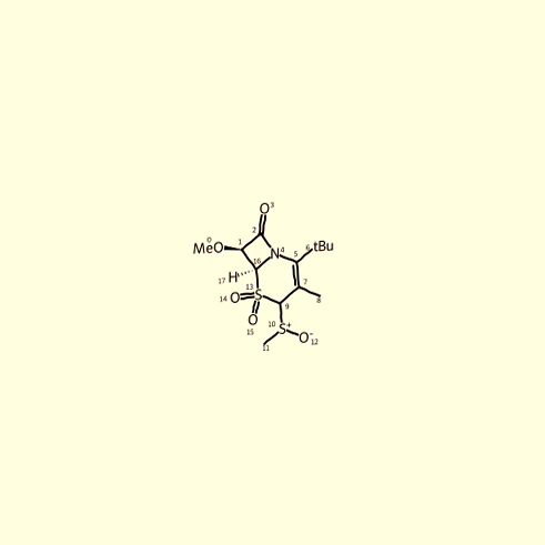 CO[C@H]1C(=O)N2C(C(C)(C)C)=C(C)C([S+](C)[O-])S(=O)(=O)[C@@H]12